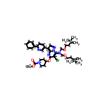 CC(C)(C)OC(=O)N1CCC(Oc2nc3c(-c4ccc(-c5ccccc5)nc4)cnn3c(N(COCC[Si](C)(C)C)COCC[Si](C)(C)C)c2Br)CC1